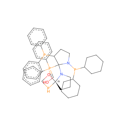 OC=P(c1ccccc1)(c1ccccc1)C1(N2CCC[C@@]23OCP3)C(P(c2ccccc2)c2ccccc2)CCN1P(C1CCCCC1)C1CCCCC1